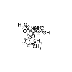 COC(=O)[C@@](N)(CSC1CCCC1C(C)C)C(=O)[C@@H](N)CC(=O)O